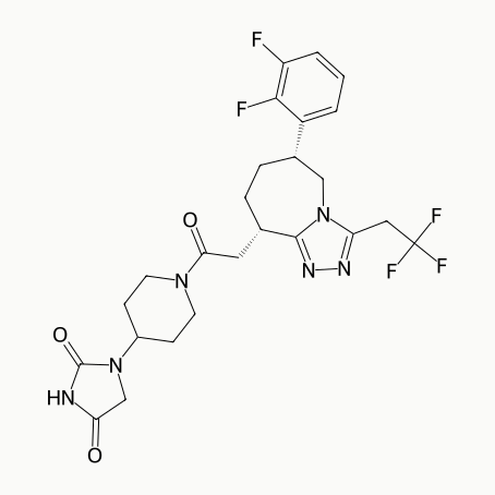 O=C1CN(C2CCN(C(=O)C[C@@H]3CC[C@H](c4cccc(F)c4F)Cn4c(CC(F)(F)F)nnc43)CC2)C(=O)N1